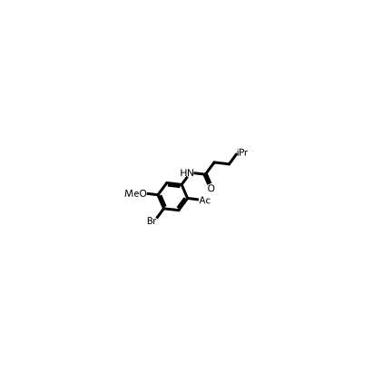 COc1cc(NC(=O)CCC(C)C)c(C(C)=O)cc1Br